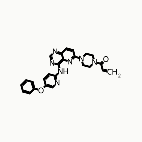 C=CC(=O)N1CCN(c2ccc3ncnc(Nc4ccc(Oc5ccccc5)cn4)c3n2)CC1